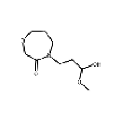 COC(O)CCN1CCCOCC1=O